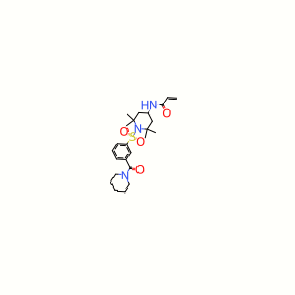 C=CC(=O)NC1CC(C)(C)N(S(=O)(=O)c2cccc(C(=O)N3CCCCC3)c2)C(C)(C)C1